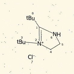 CC(C)(C)C1=[N+](C(C)(C)C)CCN1.[Cl-]